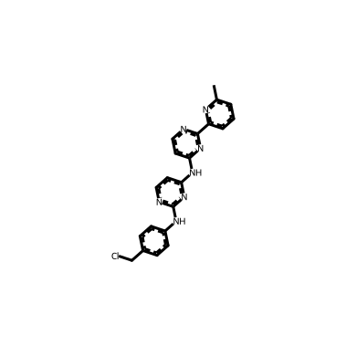 Cc1cccc(-c2nccc(Nc3ccnc(Nc4ccc(CCl)cc4)n3)n2)n1